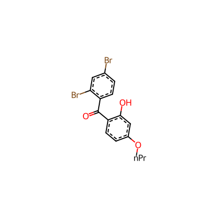 CCCOc1ccc(C(=O)c2ccc(Br)cc2Br)c(O)c1